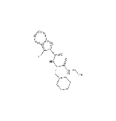 N#CCNC(=O)[C@H](CC1CCCCC1)NC(=O)c1sc2ccccc2c1Cl